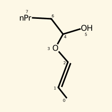 CC=COC(O)CCCC